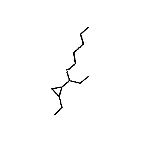 CCCCCSC(CC)C1CC1CC